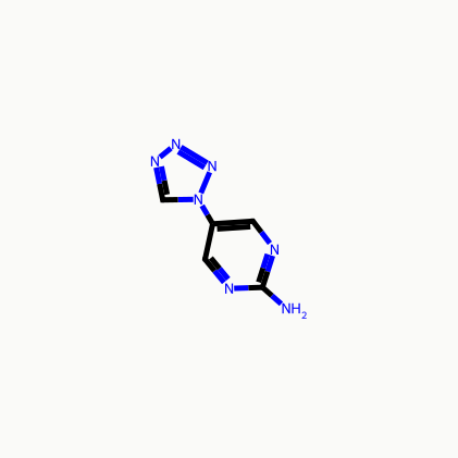 Nc1ncc(-n2cnnn2)cn1